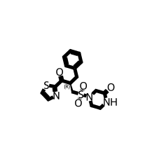 O=C1CN(S(=O)(=O)C[C@H](Cc2ccccc2)C(=O)c2nccs2)CCN1